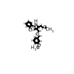 COCCC1NN(c2ccccc2Cl)C=C1COCc1cccc(OC)c1